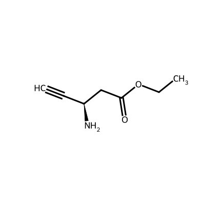 C#C[C@H](N)CC(=O)OCC